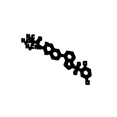 CC(C)(C)C(=O)Nc1ncc2cc(-c3cccc4c3ccn4S(=O)(=O)c3cc(Cl)ccc3Cl)ccc2n1